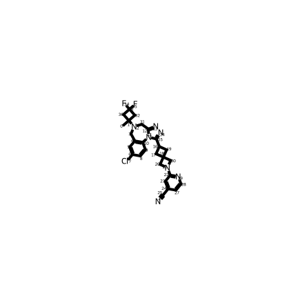 CC1(N2Cc3cc(Cl)ccc3-n3c(nnc3C3CC4(C3)CN(c3cc(C#N)ccn3)C4)C2)CC(F)(F)C1